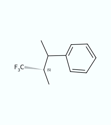 CC(c1ccccc1)[C@H](C)C(F)(F)F